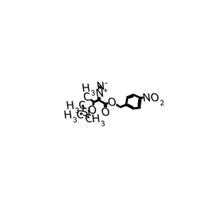 CC(O[Si](C)(C)C)C(=[N+]=[N-])C(=O)OCc1ccc([N+](=O)[O-])cc1